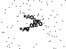 Cc1ccc(CCN[C@@H](C(=O)Nc2ccc(-c3cnn(C)c3)cn2)c2ccccc2)cc1